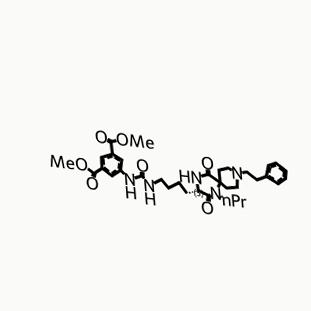 CCCN1C(=O)[C@H](CCCCNC(=O)Nc2cc(C(=O)OC)cc(C(=O)OC)c2)NC(=O)C12CCN(CCc1ccccc1)CC2